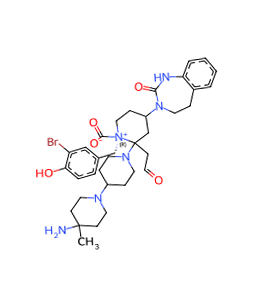 CC1(N)CCN(C2CCN(C3(CC=O)CC(N4CCc5ccccc5NC4=O)CC[N@+]3(Cc3ccc(O)c(Br)c3)C(=O)[O-])CC2)CC1